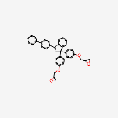 c1ccc(-c2ccc(C3CC(c4ccc(OCC5CO5)cc4)(c4ccc(OCC5CO5)cc4)c4ccccc43)cc2)cc1